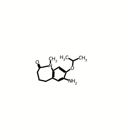 CC(C)Oc1cc2c(cc1N)CCCC(=O)N2C